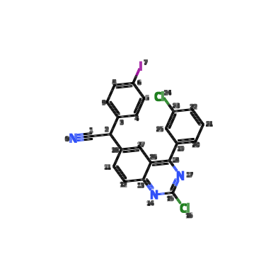 N#CC(c1ccc(I)cc1)c1ccc2nc(Cl)nc(-c3cccc(Cl)c3)c2c1